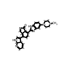 CN1CCN(c2ccc3[nH]c(-c4ccc(C5=CNC6N=CC=CC56)c5c4C(=O)N=C5)nc3c2)CC1